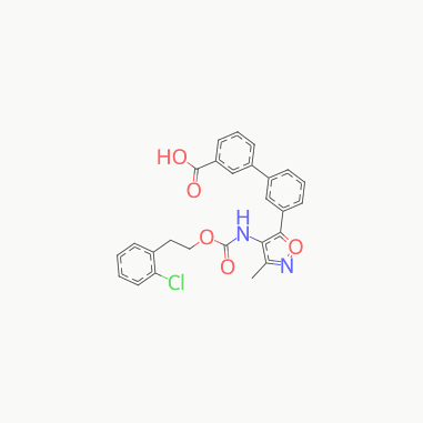 Cc1noc(-c2cccc(-c3cccc(C(=O)O)c3)c2)c1NC(=O)OCCc1ccccc1Cl